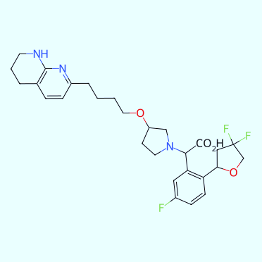 O=C(O)C(c1cc(F)ccc1C1CC(F)(F)CO1)N1CCC(OCCCCc2ccc3c(n2)NCCC3)C1